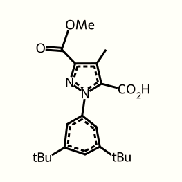 COC(=O)c1nn(-c2cc(C(C)(C)C)cc(C(C)(C)C)c2)c(C(=O)O)c1C